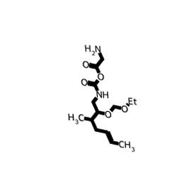 C/C=C/CC(C)C(CNC(=O)OC(=O)CN)OCOCC